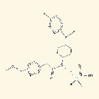 COCc1ccc(CC(=O)N(C)C2CCN(C(C)c3ccc(F)cc3)CC2)cn1.O=C(O)C(F)(F)F